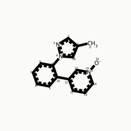 Cc1cnn(-c2ccccc2-c2ccc[n+]([O-])c2)c1